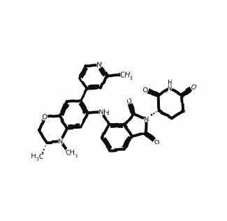 Cc1cc(-c2cc3c(cc2Nc2cccc4c2C(=O)N([C@H]2CCC(=O)NC2=O)C4=O)N(C)[C@H](C)CO3)ccn1